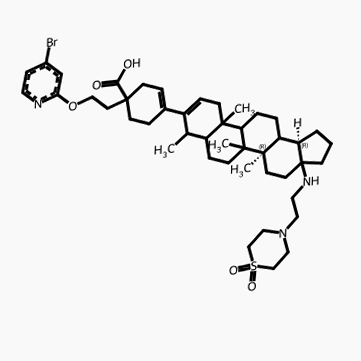 CC1C(C2=CCC(CCOc3cc(Br)ccn3)(C(=O)O)CC2)=CCC2(C)C1CCC1(C)C2CCC2[C@H]3CCCC3(NCCN3CCS(=O)(=O)CC3)CC[C@]21C